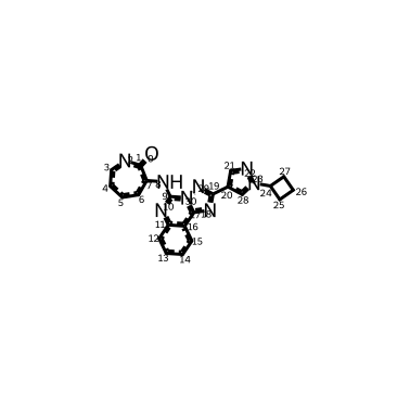 O=c1nccccc1Nc1nc2ccccc2c2nc(-c3cnn(C4CCC4)c3)nn12